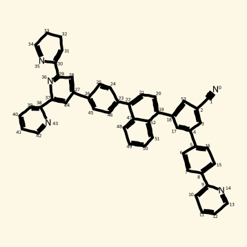 N#Cc1cc(-c2ccc(-c3ccccn3)cc2)cc(-c2ccc(-c3ccc(-c4cc(C5=CCCC=N5)nc(-c5ccccn5)c4)cc3)c3ccccc23)c1